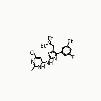 CCc1cc(F)cc(-c2nc(NC3C=C(Cl)N=C(C)N3)sc2CN(CC)CC)c1